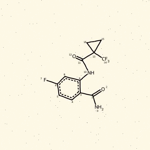 NC(=O)c1ccc(F)cc1NC(=O)C1(C(F)(F)F)CC1